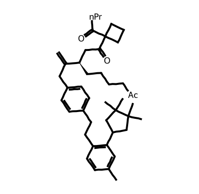 C=C(Cc1ccc(CCc2ccc(C)cc2C2CC(C)(C)C(C)(C)C2)cc1)[C@H](CCCCC(C)=O)CC(=O)C1(C(=O)CCC)CCC1